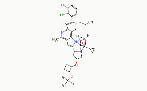 [2H]C([2H])([2H])O[C@@H]1CC[C@H]1O[C@H]1C[C@H](c2cc3c(C)nc4c(F)c(-c5cccc(Cl)c5Cl)c(CCC#N)cc4c3n2[C@H]2[C@H]3CN[C@@H]2C3)N(C(=O)C2CC2)C1